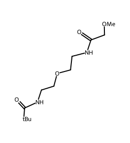 COCC(=O)NCCOCCNC(=O)C(C)(C)C